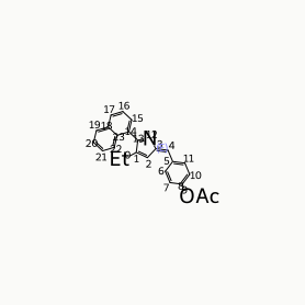 CCC1=C/C(=C\c2ccc(OC(C)=O)cc2)N=C1c1cccc2ccccc12